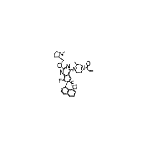 C=CC(=O)N1CCN(c2nc(OCC3CCCN3C)nc3c(F)c(-c4cccc5cccc(Cl)c45)c(F)cc23)C(C)C1